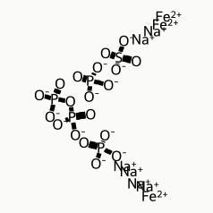 O=P([O-])([O-])OP(=O)([O-])[O-].O=P([O-])([O-])[O-].O=P([O-])([O-])[O-].O=S(=O)([O-])[O-].[Fe+2].[Fe+2].[Fe+2].[Na+].[Na+].[Na+].[Na+].[Na+].[Na+]